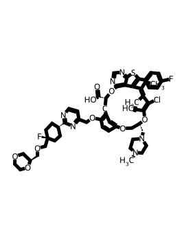 C#C/C1=C(Cl)\C(C)=C(/CC)c2c(-c3ccc(F)cc3)sc3ncnc(c23)O[C@@H](C(=O)O)Cc2cc(ccc2OCc2ccnc([C@H]3CC[C@@](F)(COC[C@@H]4COCCO4)CC3)n2)OC[C@@H](CN2CCN(C)CC2)O1